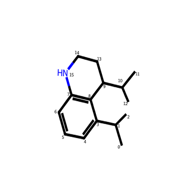 CC(C)c1cccc2c1C(C(C)C)CCN2